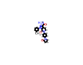 Cc1cccc(-n2nc(C(N)=O)c3c2C(=O)N(c2ccc(N4CCCC4=O)cc2)CC3)c1